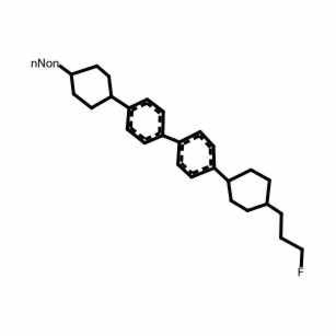 CCCCCCCCCC1CCC(c2ccc(-c3ccc(C4CCC(CCCF)CC4)cc3)cc2)CC1